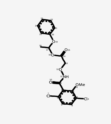 COc1c(Cl)ccc(Cl)c1C(=O)NOCC(=O)OC(C)Oc1ccccc1